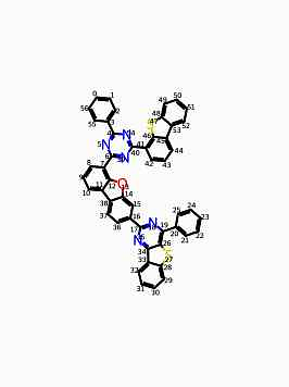 c1ccc(-c2nc(-c3cccc4c3oc3cc(-c5nc(-c6ccccc6)c6sc7ccccc7c6n5)ccc34)nc(-c3cccc4c3sc3ccccc34)n2)cc1